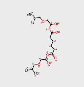 CCCCC(CC)COCC(O)OC(=O)CCCCC(=O)OC(O)COCC(CC)CCCC